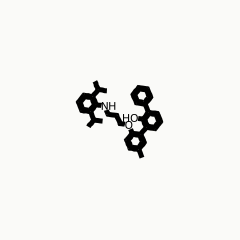 Cc1ccc(OCCCNc2c(C(C)C)cccc2C(C)C)c(-c2cccc(-c3ccccc3)c2O)c1